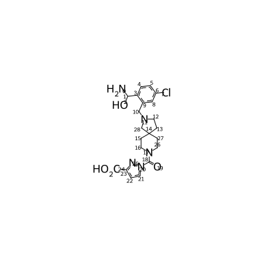 NC(O)c1ccc(Cl)cc1CN1CCC2(CCN(C(=O)n3ccc(C(=O)O)n3)CC2)C1